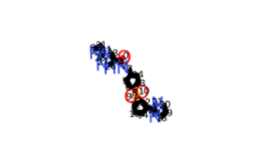 O=C(NCc1ccc(S(=O)(=O)c2cccc(-c3ncccn3)c2)cc1)c1cnc2nccn2c1